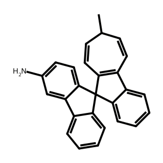 CC1C=CC2=C(C=C1)C1(c3ccccc32)c2ccccc2-c2cc(N)ccc21